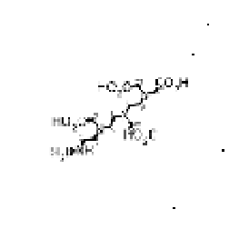 BNCCN(CCN(CCN(CC(=O)O)CC(=O)O)CC(=O)O)CC(=O)O